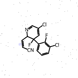 N#C/C=C\C1N=CC(Cl)=CC1(F)c1cccc(Cl)c1F